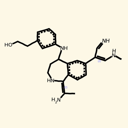 CN/C=C(\C=N)c1ccc2c(c1)C(Nc1cccc(CCO)c1)CCN/C2=C(/C)N